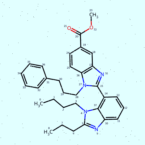 CCCCn1c(CCC)nc2cccc(-c3nc4cc(C(=O)OC)ccc4n3CCCc3ccccc3)c21